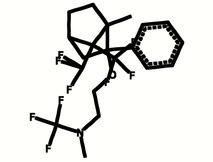 CN(CCOC1(c2ccccc2)CC2CCC1(C)C2(C(F)(F)F)C(F)(F)F)C(F)(F)F